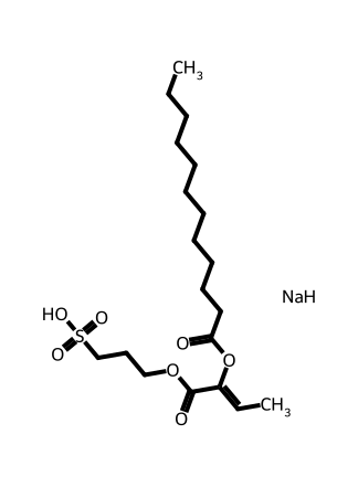 CC=C(OC(=O)CCCCCCCCCCC)C(=O)OCCCS(=O)(=O)O.[NaH]